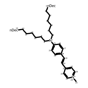 CCCCCCCCCCCCCCCCN(CCCCCCCCCCCCCCCC)c1ccc(/C=C/c2cc[n+](C)cc2)cc1